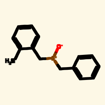 [O-][S+](Cc1ccccc1)Cc1ccccc1[SiH3]